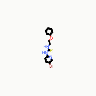 S=C(NCCOc1ccccc1)Nc1ccc(Br)cn1